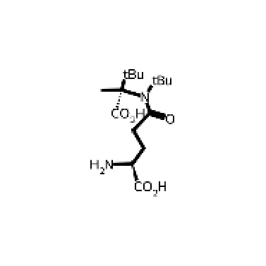 CC(C)(C)N(C(=O)CC[C@H](N)C(=O)O)[C@](C)(C(=O)O)C(C)(C)C